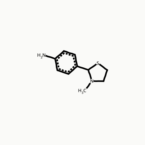 CN1CCSC1c1ccc(N)cc1